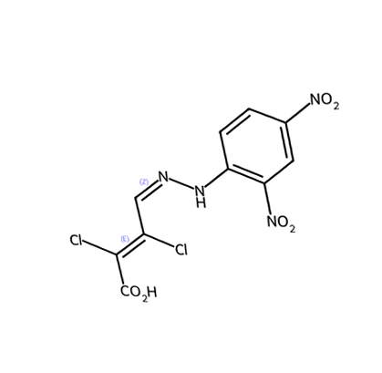 O=C(O)/C(Cl)=C(Cl)/C=N\Nc1ccc([N+](=O)[O-])cc1[N+](=O)[O-]